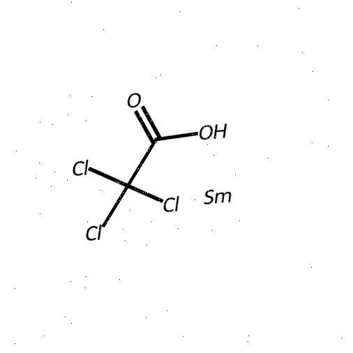 O=C(O)C(Cl)(Cl)Cl.[Sm]